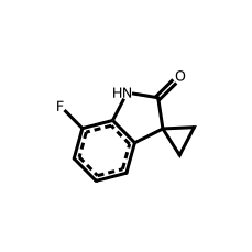 O=C1Nc2c(F)cccc2C12CC2